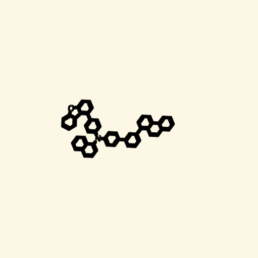 c1cc(-c2ccc(N(c3ccc(-c4cccc5oc6ccccc6c45)cc3)c3cccc4ccccc34)cc2)cc(-c2cccc3c2ccc2ccccc23)c1